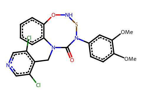 COc1ccc(N2SNOc3ccccc3N(Cc3c(Cl)cncc3Cl)C2=O)cc1OC